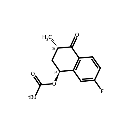 C[C@H]1C[C@H](OC(=O)C(C)(C)C)c2cc(F)ccc2C1=O